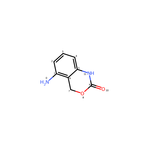 Nc1cccc2c1COC(=O)N2